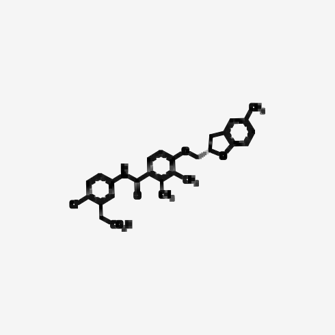 Cc1ccc2c(c1)C[C@@H](COc1ccc(C(=O)Nc3ccc(Cl)c(CC(=O)O)c3)c(C)c1C)O2